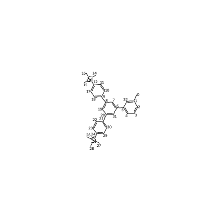 Cc1cccc(-c2cc(-c3ccc([Si](C)(C)C)cc3)cc(-c3ccc([Si](C)(C)C)cc3)c2)c1